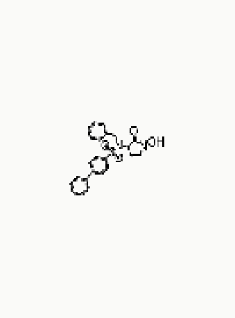 O=C1C(N(Cc2ccccc2)S(=O)(=O)c2ccc(-c3ccccc3)cc2)CCN1O